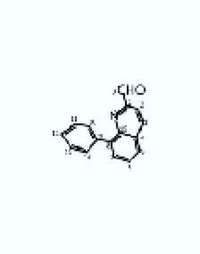 O=[C]c1ccc2cccc(-c3ccccc3)c2n1